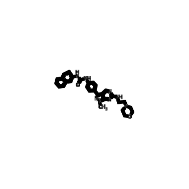 Cn1nc(-c2ccc(NC(=O)Nc3ccc4ccccc4c3)cc2)c2cnc(NCCN3CCOCC3)nc21